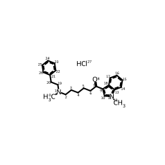 CN(CCCCCC(=O)c1cn(C)c2ccccc12)CCc1ccccc1.Cl